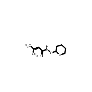 CC(C)=CC(=O)NOC1CCCCO1